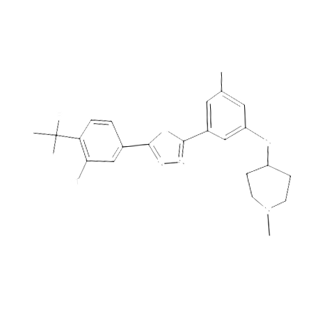 Cc1cc(NC2CCN(C)CC2)cc(-c2nnc(-c3ccc(C(F)(F)F)c(Cl)c3)s2)c1